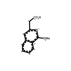 COc1nc(CC(=O)O)cc2ccccc12